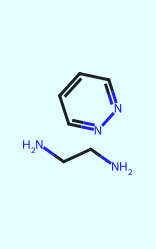 NCCN.c1ccnnc1